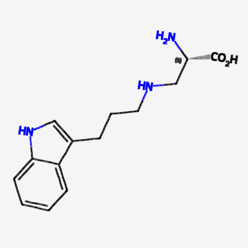 N[C@@H](CNCCCc1c[nH]c2ccccc12)C(=O)O